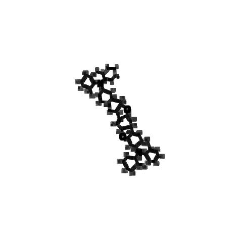 Cc1ccccc1N(c1ccc2cc3c(cc2c1)oc1cc2c(cc13)oc1cc(N(c3ccccc3C)c3ccccc3C)ccc12)c1ccccc1C